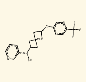 OC(c1cccnc1)C1CC2(CC(Oc3ccc(C(F)(F)F)nc3)C2)C1